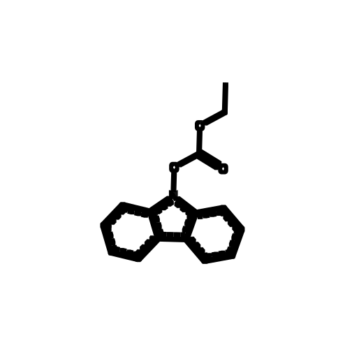 CCOC(=O)On1c2ccccc2c2ccccc21